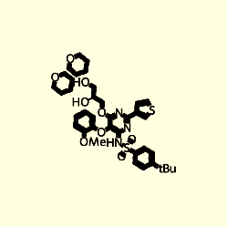 C1CCOCC1.C1CCOCC1.COc1ccccc1Oc1c(NS(=O)(=O)c2ccc(C(C)(C)C)cc2)nc(-c2ccsc2)nc1OC[C@H](O)CO